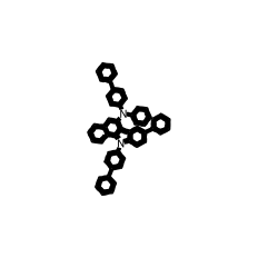 c1ccc(-c2ccc(N(c3ccccc3)c3cc4ccccc4c4c3c3cc(-c5ccccc5)ccc3n4-c3ccc(-c4ccccc4)cc3)cc2)cc1